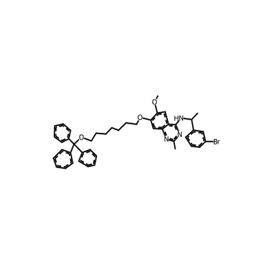 COc1cc2c(NC(C)c3cccc(Br)c3)nc(C)nc2cc1OCCCCCCCOC(c1ccccc1)(c1ccccc1)c1ccccc1